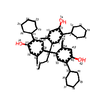 CCCC(c1cc(C2CCCCC2)c(O)cc1C)(c1cc(C2CCCCC2)c(O)cc1C)c1cc(C2CCCCC2)c(O)cc1C